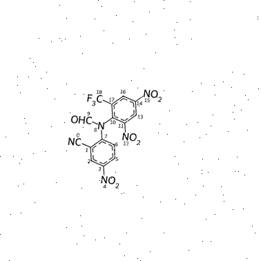 N#Cc1cc([N+](=O)[O-])ccc1N(C=O)c1c([N+](=O)[O-])cc([N+](=O)[O-])cc1C(F)(F)F